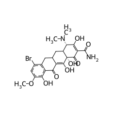 COc1cc(Br)c2c(c1O)C(=O)C1=C(O)[C@]3(O)C(=O)C(C(N)=O)=C(O)[C@@H](N(C)C)C3CC1C2